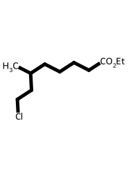 CCOC(=O)CCCCC(C)CCCl